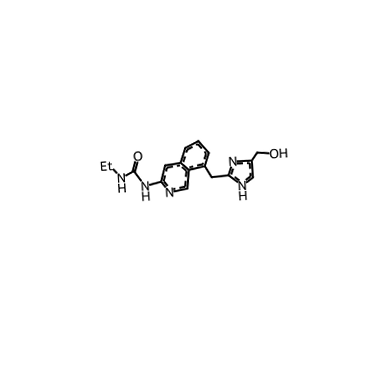 CCNC(=O)Nc1cc2cccc(Cc3nc(CO)c[nH]3)c2cn1